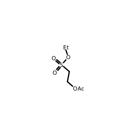 CCOS(=O)(=O)CCOC(C)=O